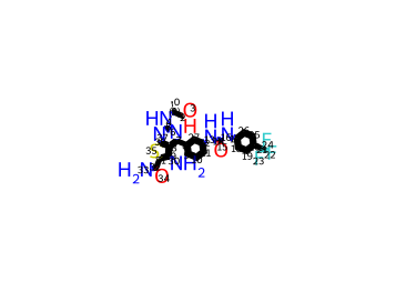 C[C@H](CO)Nc1nc(-c2cccc(NC(=O)Nc3ccc(C(F)(F)F)cc3)c2)c2c(N)c(C(N)=O)sc2n1